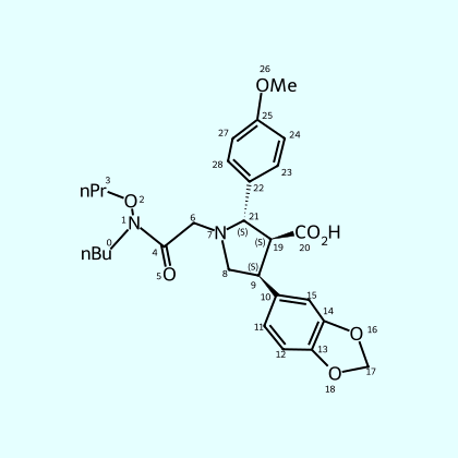 CCCCN(OCCC)C(=O)CN1C[C@H](c2ccc3c(c2)OCO3)[C@H](C(=O)O)[C@H]1c1ccc(OC)cc1